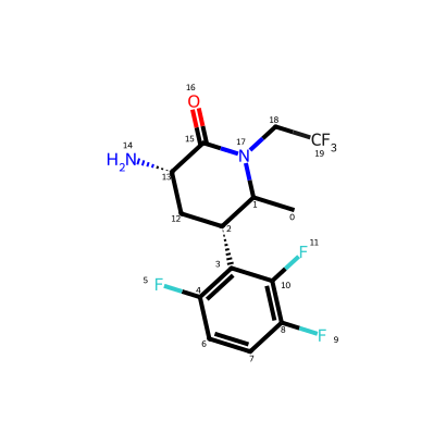 CC1[C@H](c2c(F)ccc(F)c2F)C[C@H](N)C(=O)N1CC(F)(F)F